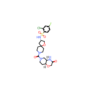 O=C1CO[C@H]2CCN(C(=O)N3CCC4(CC3)C[C@H](NS(=O)(=O)c3ccc(F)cc3Cl)CO4)C[C@H]2N1